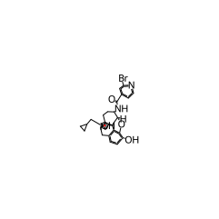 O=C(N[C@@H]1CCC2(O)C3Cc4ccc(O)c5c4[C@@]2(CCN3CC2CC2)[C@H]1O5)c1ccnc(Br)c1